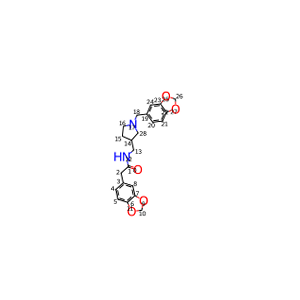 O=C(Cc1ccc2c(c1)OCO2)NCC1CCN(Cc2ccc3c(c2)OCO3)C1